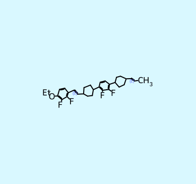 C/C=C/C1CCC(c2ccc(C3CCC(/C=C/c4ccc(OCC)c(F)c4F)CC3)c(F)c2F)CC1